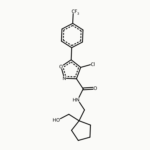 O=C(NCC1(CO)CCCC1)c1noc(-c2ccc(C(F)(F)F)cc2)c1Cl